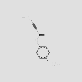 CC#CC(=O)Nc1ccc(OC)cc1